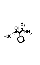 CC(N)C(C(=O)O)N1CCCCC1.Cl.Cl